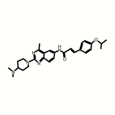 Cc1nc(N2CCC(N(C)C)CC2)nc2ccc(NC(=O)C=Cc3ccc(OC(C)C)cc3)cc12